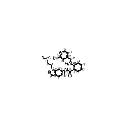 CN(C)CCn1ncc2ccc(NC(=O)c3ccccc3NCc3ccnc(Br)c3)cc21